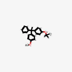 CCC(C)Oc1ccc(C(C)(c2ccccc2)c2ccc(OC(C)(C)CC)cc2)cc1